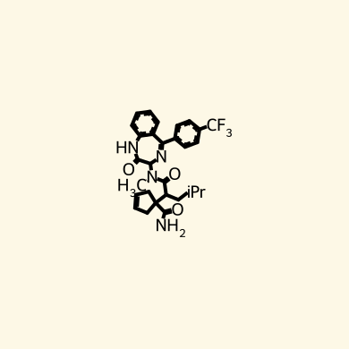 CC(C)CC(C(=O)N(C)C1N=C(c2ccc(C(F)(F)F)cc2)c2ccccc2NC1=O)C1(C(N)=O)CC=CC1